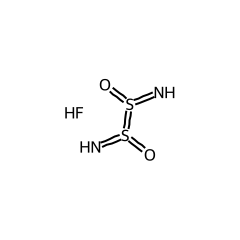 F.N=S(=O)=S(=N)=O